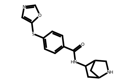 O=C(NC1CC2CC1CN2)c1ccc(Sc2cnco2)cc1